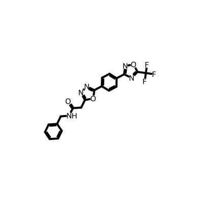 O=C(Cc1nnc(-c2ccc(-c3noc(C(F)(F)F)n3)cc2)o1)NCc1ccccc1